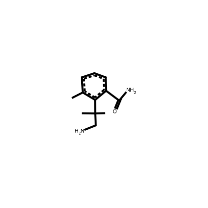 Cc1cccc(C(N)=O)c1C(C)(C)CN